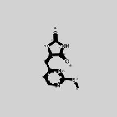 CSc1nccc(C=C2SC(=O)NC2=O)n1